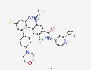 C/C=C/c1cc(C(=O)Nc2ccnc(C(F)(F)F)c2)c(Cl)cc1-c1c(N)cc(F)cc1C1CCC(N2CCOCC2)CC1